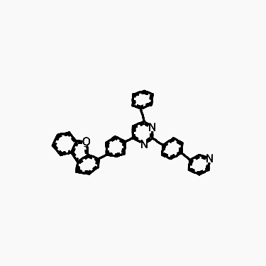 c1ccc(-c2cc(-c3ccc(-c4cccc5c4oc4ccccc45)cc3)nc(-c3ccc(-c4cccnc4)cc3)n2)cc1